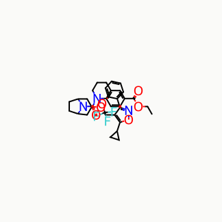 CCOC(=O)c1ccc2c(c1)CCCN2C(=O)N1C2CCC1CC(OCc1c(-c3ccccc3OC(F)(F)F)noc1C1CC1)C2